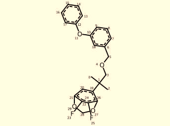 CC(C)(COCc1cccc(Oc2ccccc2)c1)c1cc2c(F)c(F)c1OCO2